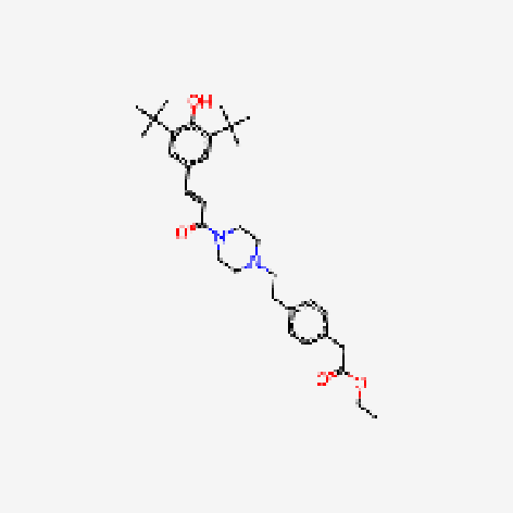 CCOC(=O)Cc1ccc(CCN2CCN(C(=O)C=Cc3cc(C(C)(C)C)c(O)c(C(C)(C)C)c3)CC2)cc1